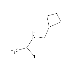 CC(I)NCC1CCC1